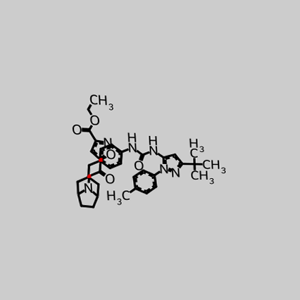 CCOC(=O)c1cc(C(=O)CN2C3CCC2CC(Cc2ccc(NC(=O)Nc4cc(C(C)(C)C)nn4-c4ccc(C)cc4)cc2)C3)on1